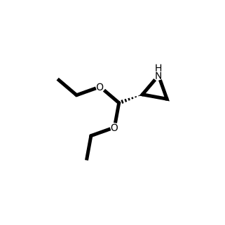 CCOC(OCC)[C@H]1CN1